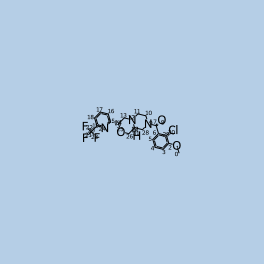 COc1cccc(C(=O)N2CCN3C[C@@H](c4cccc(C(F)(F)F)n4)OC[C@@H]3C2)c1Cl